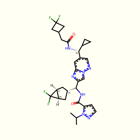 CC(C)n1nccc1C(=O)NC(c1cn2ncc([C@H](NC(=O)CC3CC(F)(F)C3)C3CC3)cc2n1)[C@@H]1C[C@@H]2[C@H](C1)C2(F)F